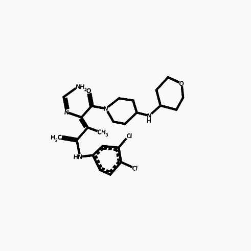 C=C(Nc1ccc(Cl)c(Cl)c1)/C(C)=C(\N=C/N)C(=O)N1CCC(NC2CCOCC2)CC1